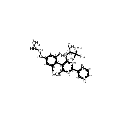 CNOOc1cc(F)c(-c2c(Cl)nc(-c3cnccn3)nc2N[C@@H](C)C(F)(F)F)c(F)c1